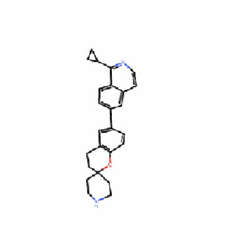 c1cc2cc(-c3ccc4c(c3)CCC3(CCNCC3)O4)ccc2c(C2CC2)n1